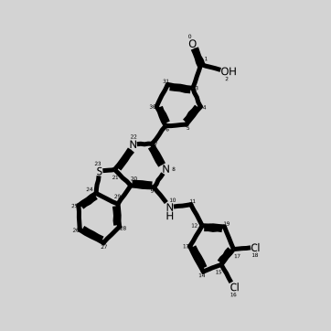 O=C(O)c1ccc(-c2nc(NCc3ccc(Cl)c(Cl)c3)c3c(n2)sc2ccccc23)cc1